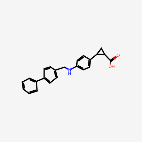 O=C(O)C1CC1c1ccc(NCc2ccc(-c3ccccc3)cc2)cc1